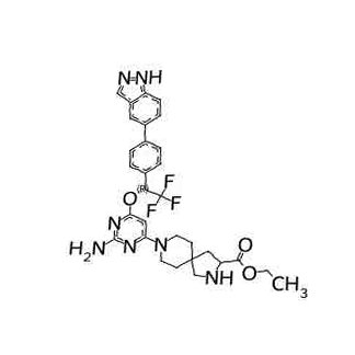 CCOC(=O)C1CC2(CCN(c3cc(O[C@H](c4ccc(-c5ccc6[nH]ncc6c5)cc4)C(F)(F)F)nc(N)n3)CC2)CN1